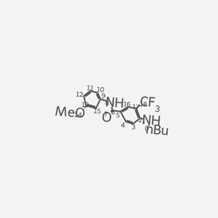 CCCCNc1ccc(C(=O)Nc2cccc(OC)c2)cc1C(F)(F)F